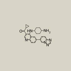 NC1CCC(Nc2c(C(=O)C3CC3)cnc3ccc(-c4ccc5ncnn5c4)cc23)CC1